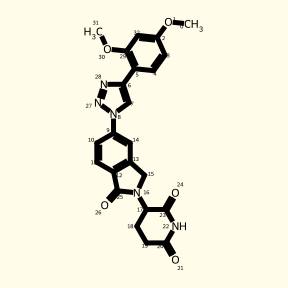 COc1ccc(-c2cn(-c3ccc4c(c3)CN(C3CCC(=O)NC3=O)C4=O)nn2)c(OC)c1